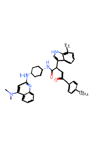 CCc1cccc2c(C(CC(=O)c3ccc(C(C)(C)C)cc3)C(=O)N[C@H]3CC[C@@H](Nc4cc(N(C)C)c5ccccc5n4)CC3)c[nH]c12